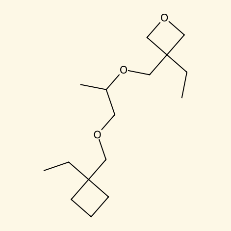 CCC1(COCC(C)OCC2(CC)COC2)CCC1